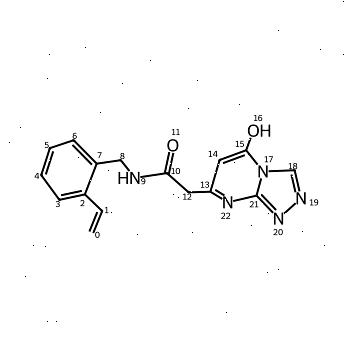 C=Cc1ccccc1CNC(=O)Cc1cc(O)n2cnnc2n1